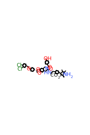 C=C/C=C(\C(C)=C(\C)N)c1ccc(C[C@H](NC(=O)C2Cc3cc4c(cc3CN2C(=O)c2ccc(O)cc2)O[C@@H](c2ccc(OCc3ccc(Cl)c(Cl)c3)cc2)CO4)C(=O)O)cc1